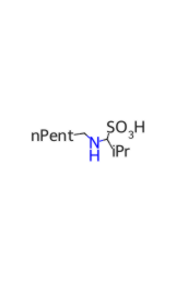 CCCCCCNC(C(C)C)S(=O)(=O)O